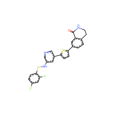 O=C1NCCc2ccc(-c3ccc(-c4cncc(NSc5ccc(F)cc5F)c4)s3)cc21